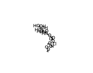 O=C(NCCOCCS(=O)(=O)c1ccc(Cl)c(COC2(c3cnccc3-c3ccccc3OC3CC3)CC2)c1)NCC(O)C(O)C(O)C(O)CO